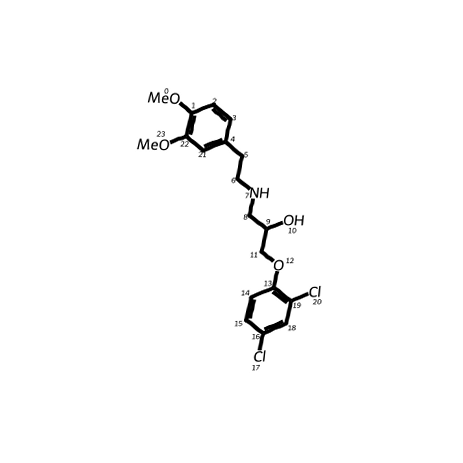 COc1ccc(CCNCC(O)COc2ccc(Cl)cc2Cl)cc1OC